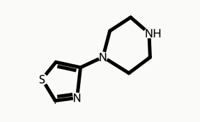 [c]1nc(N2CCNCC2)cs1